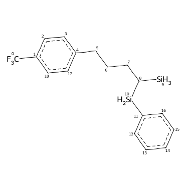 FC(F)(F)c1ccc(CCCC([SiH3])[SiH2]c2ccccc2)cc1